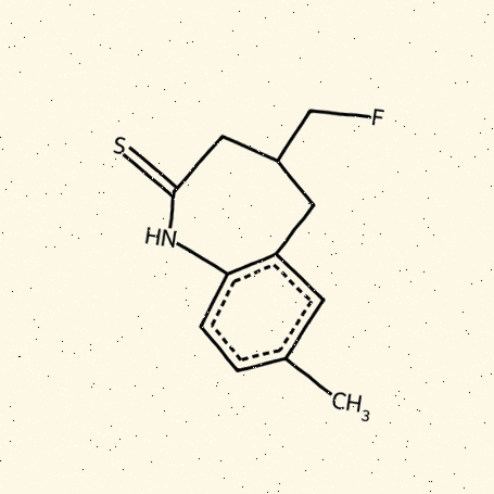 Cc1ccc2c(c1)CC(CF)CC(=S)N2